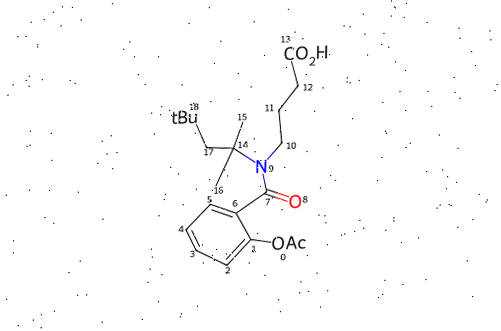 CC(=O)Oc1ccccc1C(=O)N(CCCC(=O)O)C(C)(C)CC(C)(C)C